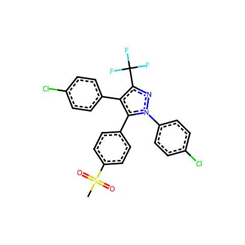 CS(=O)(=O)c1ccc(-c2c(-c3ccc(Cl)cc3)c(C(F)(F)F)nn2-c2ccc(Cl)cc2)cc1